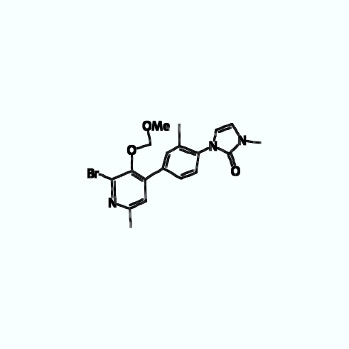 COCOc1c(-c2ccc(-n3ccn(C)c3=O)c(C)c2)cc(C)nc1Br